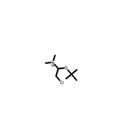 C[SiH](C)C(CCl)OC(C)(C)C